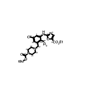 CCOC(=O)c1cnc(Nc2cc(Cl)cc(CN3CCN(C(=O)OC(C)(C)C)CC3)c2C)o1